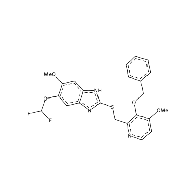 COc1cc2[nH]c(SCc3nccc(OC)c3OCc3ccccc3)nc2cc1OC(F)F